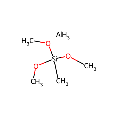 CO[Si](C)(OC)OC.[AlH3]